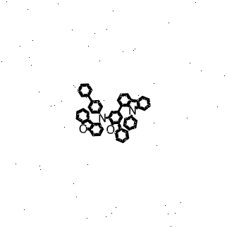 c1ccc(-c2ccc(N(c3cc(-c4cccc5c6ccccc6n(-c6ccccc6)c45)cc4c3oc3ccccc34)c3cccc4oc5ccccc5c34)cc2)cc1